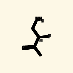 CC(=O)[C@H](F)CN